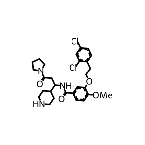 COc1ccc(C(=O)NC(CC(=O)N2CCCC2)C2CCNCC2)cc1OCCc1ccc(Cl)cc1Cl